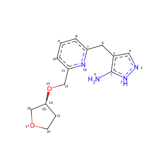 Nc1[nH]ncc1Cc1cccc(CO[C@H]2CCOC2)n1